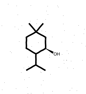 CC(C)C1CCC(C)(C)C[C@H]1O